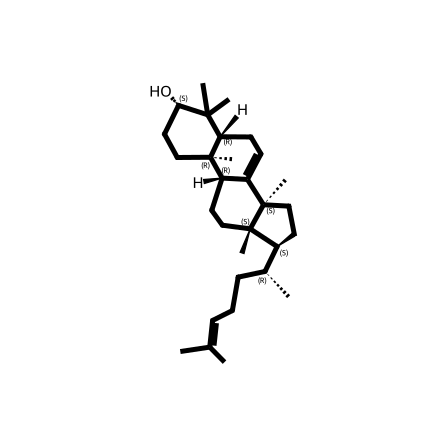 CC(C)=CCC[C@@H](C)[C@@H]1CC[C@]2(C)C3=CC[C@H]4C(C)(C)[C@@H](O)CC[C@]4(C)[C@H]3CC[C@@]12C